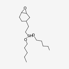 CCCCCO[SiH](CCC1CCC2OC2C1)OCCCCC